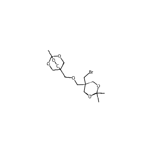 CC1(C)OCC(CBr)(COCC23COC(C)(OC2)OC3)CO1